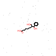 O=C(O)CCCCCCC(CO)C(O)c1ccccc1